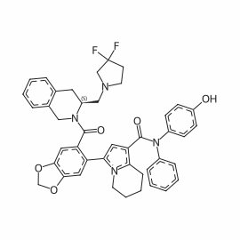 O=C(c1cc(-c2cc3c(cc2C(=O)N2Cc4ccccc4C[C@H]2CN2CCC(F)(F)C2)OCO3)n2c1CCCC2)N(c1ccccc1)c1ccc(O)cc1